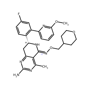 COc1cccc(-c2cc(F)ccc2[C@H]2Cc3nc(N)nc(C)c3/C(=N/OCC3CCOCC3)N2)n1